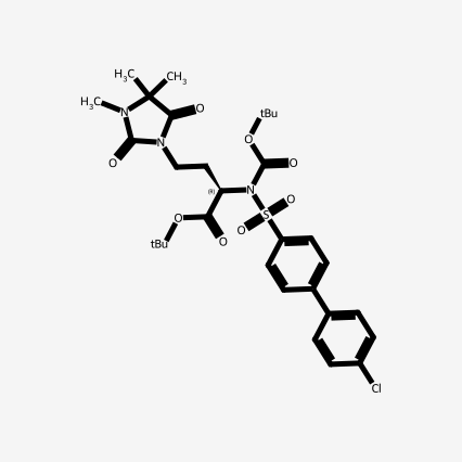 CN1C(=O)N(CC[C@H](C(=O)OC(C)(C)C)N(C(=O)OC(C)(C)C)S(=O)(=O)c2ccc(-c3ccc(Cl)cc3)cc2)C(=O)C1(C)C